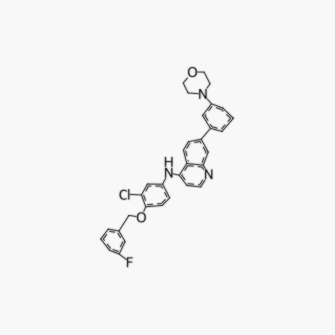 Fc1cccc(COc2ccc(Nc3ccnc4cc(-c5cccc(N6CCOCC6)c5)ccc34)cc2Cl)c1